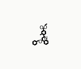 CCOC(=O)c1ccc(-c2cc(OCc3ccccc3)c3ccccc3n2)c(C)c1